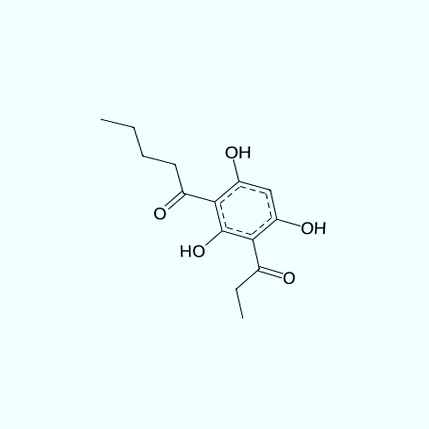 CCCCC(=O)c1c(O)cc(O)c(C(=O)CC)c1O